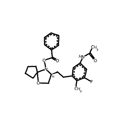 CC(=O)Nc1cc(F)c(C)c(CC[C@H]2COC3(CCCC3)N2OC(=O)c2ccccc2)c1